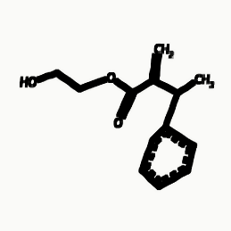 C=C(C(=O)OCCO)C(C)c1ccccc1